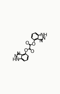 O=C(Oc1cccc2[nH]nnc12)C(=O)Oc1cccc2[nH]nnc12